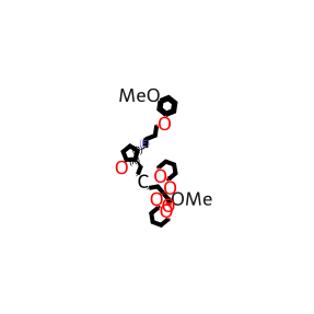 COC(=O)C(CC=C=CC[C@H]1C(=O)CC[C@@H]1/C=C/CCOc1cccc(OC)c1)(OC1CCCCO1)OC1CCCCO1